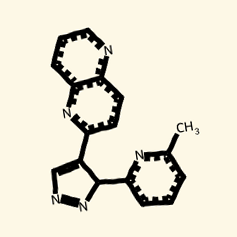 Cc1cccc(C2N=NC=C2c2ccc3ncccc3n2)n1